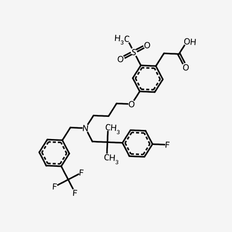 CC(C)(CN(CCCOc1ccc(CC(=O)O)c(S(C)(=O)=O)c1)Cc1cccc(C(F)(F)F)c1)c1ccc(F)cc1